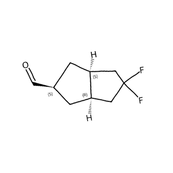 O=C[C@@H]1C[C@@H]2CC(F)(F)C[C@@H]2C1